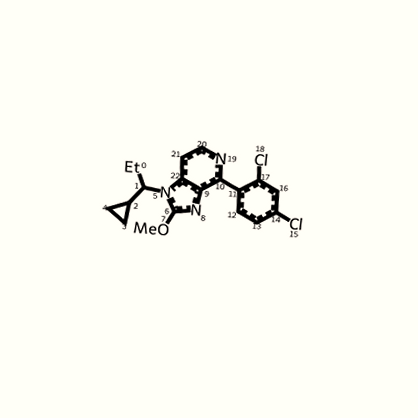 CCC(C1CC1)n1c(OC)nc2c(-c3ccc(Cl)cc3Cl)nccc21